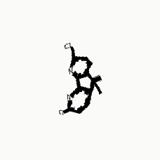 CC1(C)c2ccc(Cl)nc2-c2nc(Cl)ccc21